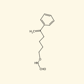 C=C(CCCCONC=O)c1ccccc1